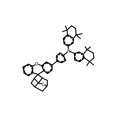 CC1(C)CCC(C)(C)c2cc(N(c3ccc(-c4ccc5c(c4)Oc4ccccc4C54C5CC6CC7CC4C75C6)cc3)c3ccc4c(c3)C(C)(C)CCC4(C)C)ccc21